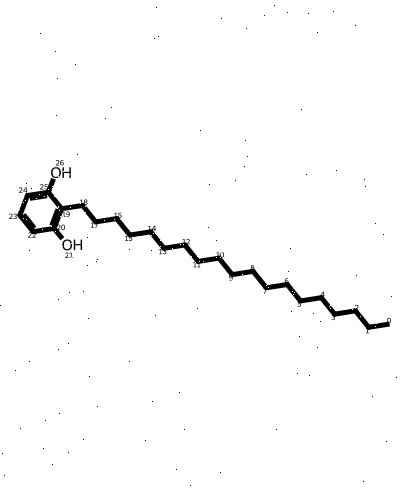 CCCCCCCCCCCCCCCCCCCc1c(O)cccc1O